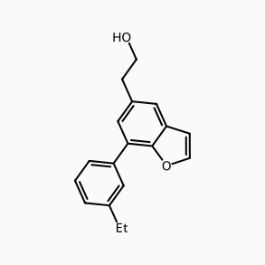 CCc1cccc(-c2cc(CCO)cc3ccoc23)c1